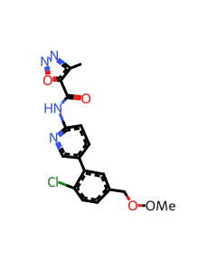 COOCc1ccc(Cl)c(-c2ccc(NC(=O)c3onnc3C)nc2)c1